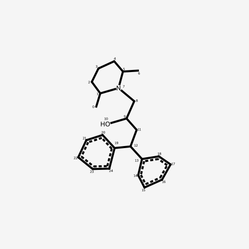 CC1CCCC(C)N1CC(O)CC(c1ccccc1)c1ccccc1